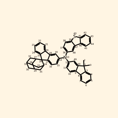 CC1(C)c2ccccc2-c2ccc(N(c3ccc4c(c3)-c3ccccc3C43C4CC5CC(C4)CC3C5)c3ccc4sc5ccccc5c4c3)cc21